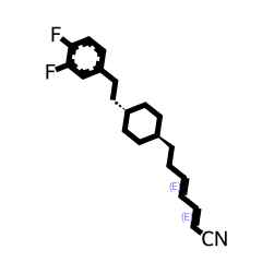 N#C/C=C/C=C/CC[C@H]1CC[C@H](CCc2ccc(F)c(F)c2)CC1